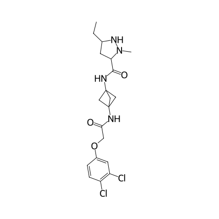 CCC1CC(C(=O)NC23CC(NC(=O)COc4ccc(Cl)c(Cl)c4)(C2)C3)N(C)N1